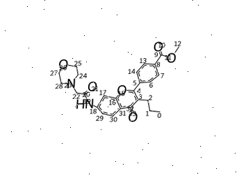 CCCc1c(-c2ccc(C(=O)OC)cc2)oc2cc(NC(=O)CN3CCOCC3)ccc2c1=O